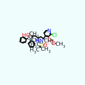 COCOc1c(C(C)(CCCC(C)(C)[Si](O)(c2ccccc2)c2ccccc2)N[S@@+]([O-])C(C)(C)C)ccnc1Cl